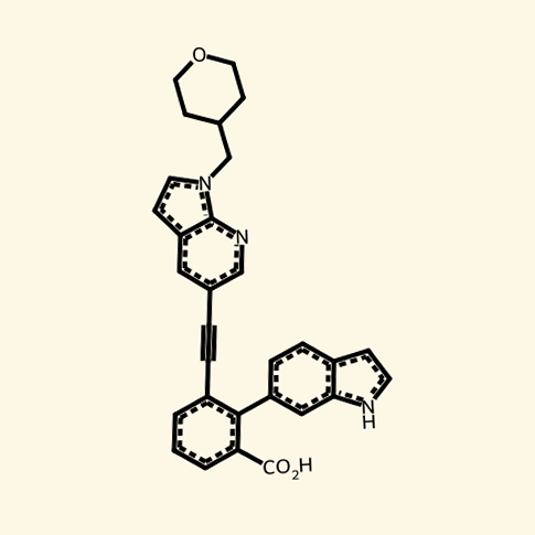 O=C(O)c1cccc(C#Cc2cnc3c(ccn3CC3CCOCC3)c2)c1-c1ccc2cc[nH]c2c1